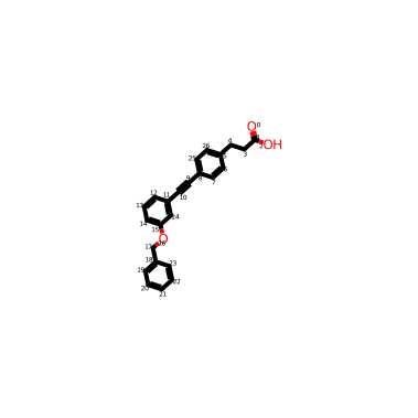 O=C(O)CCc1ccc(C#Cc2cccc(OCc3ccccc3)c2)cc1